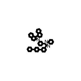 c1ccc(-c2ccc(-c3cccc(-c4nc5ccccc5nc4-c4cccc(-n5c6ccc7ccccc7c6c6c7ccccc7ccc65)c4)c3)cc2)cc1